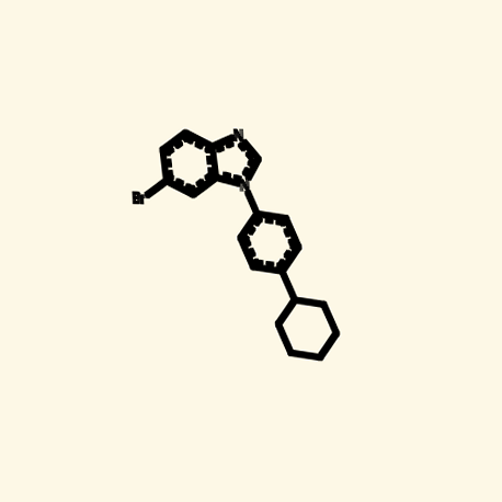 Brc1ccc2ncn(-c3ccc(C4CCCCC4)cc3)c2c1